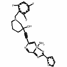 N[N+]12C=C(C#CC3(O)CCCN(Cc4c(F)cc(F)cc4F)C3)N=CC1=NC(c1ccco1)=N2